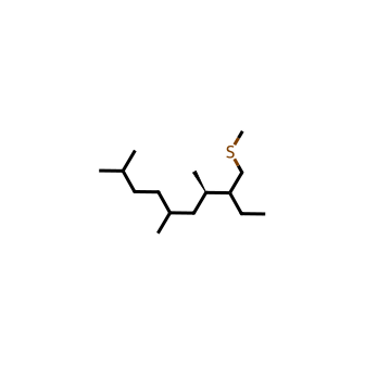 CCC(CSC)[C@H](C)CC(C)CCC(C)C